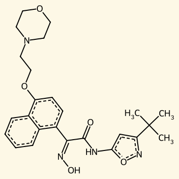 CC(C)(C)c1cc(NC(=O)C(=NO)c2ccc(OCCN3CCOCC3)c3ccccc23)on1